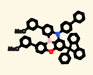 COc1cccc(-c2ccc3c(c2)B2c4cc(-c5cccc(OC)c5)ccc4N(c4ccc(-c5ccccc5)cc4)c4cc(C5(c6ccccc6)c6ccccc6-c6ccccc65)cc(c42)O3)c1